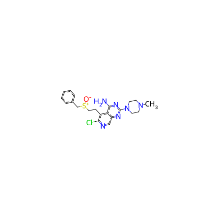 CN1CCN(c2nc(N)c3c(CC[S+]([O-])Cc4ccccc4)c(Cl)ncc3n2)CC1